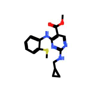 COC(=O)c1cnc(NCC2CC2)nc1Nc1ccccc1SC